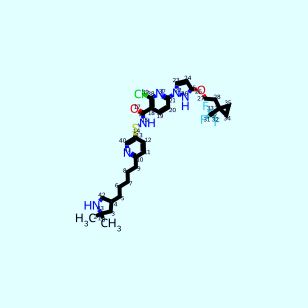 CC1(C)CC(CCCCCc2ccc(SNC(=O)c3ccc(N4C=CC(OCCC5(C(F)(F)F)CC5)N4)nc3Cl)cn2)CN1